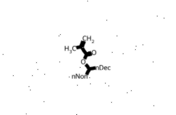 C=C(C)C(=O)OC(CCCCCCCCC)CCCCCCCCCC